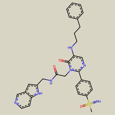 CS(=N)(=O)c1ccc(-c2ncc(NCCCc3ccccc3)c(=O)n2CC(=O)NCc2cc3cnccc3[nH]2)cc1